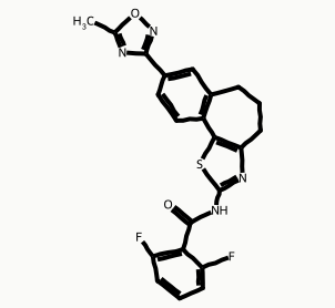 Cc1nc(-c2ccc3c(c2)CCCc2nc(NC(=O)c4c(F)cccc4F)sc2-3)no1